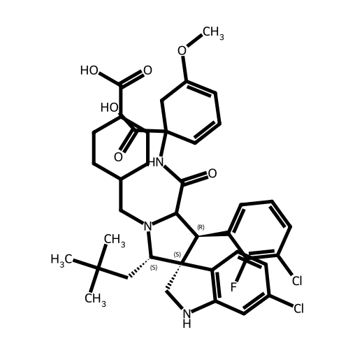 COC1=CC=CC(NC(=O)C2[C@@H](c3cccc(Cl)c3F)[C@]3(CNc4cc(Cl)ccc43)[C@H](CC(C)(C)C)N2CC2CCC(C(=O)O)CC2)(C(=O)O)C1